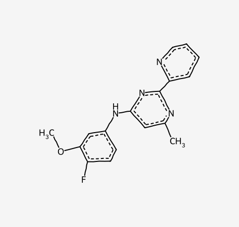 COc1cc(Nc2cc(C)nc(-c3ccccn3)n2)ccc1F